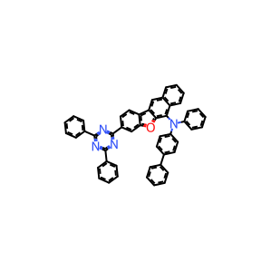 c1ccc(-c2ccc(N(c3ccccc3)c3c4ccccc4cc4c3oc3cc(-c5nc(-c6ccccc6)nc(-c6ccccc6)n5)ccc34)cc2)cc1